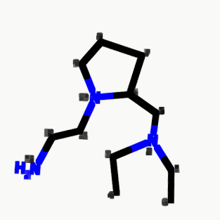 CCN(CC)CC1CCCN1CCN